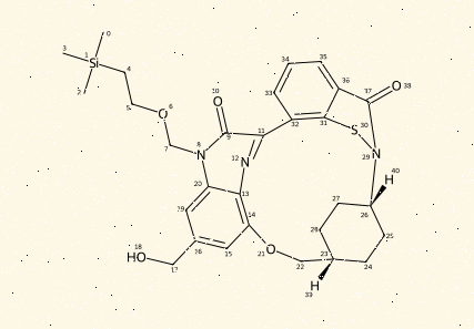 C[Si](C)(C)CCOCn1c(=O)c2nc3c(cc(CO)cc31)OC[C@H]1CC[C@H](CC1)n1sc3c-2cccc3c1=O